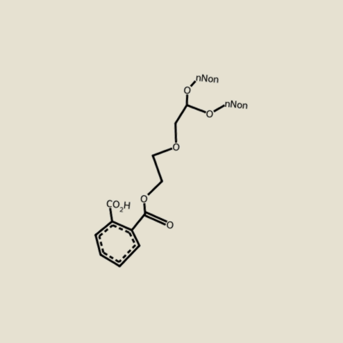 CCCCCCCCCOC(COCCOC(=O)c1ccccc1C(=O)O)OCCCCCCCCC